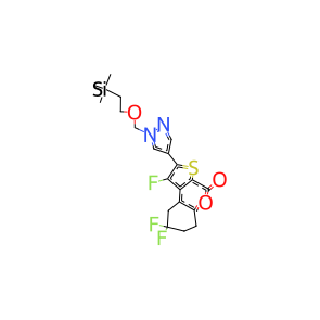 C[Si](C)(C)CCOCn1cc(-c2sc3c(=O)oc4c(c3c2F)CC(F)(F)CC4)cn1